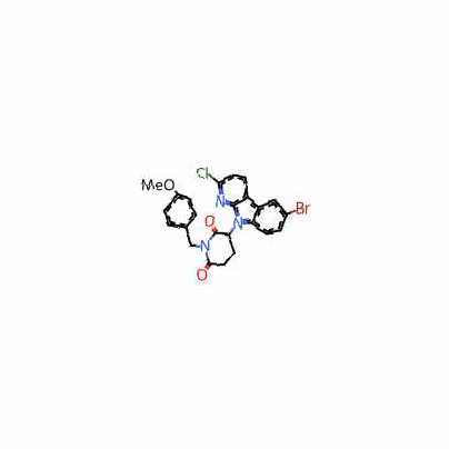 COc1ccc(CN2C(=O)CCC(n3c4ccc(Br)cc4c4ccc(Cl)nc43)C2=O)cc1